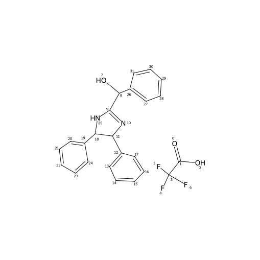 O=C(O)C(F)(F)F.OC(C1=NC(c2ccccc2)C(c2ccccc2)N1)c1ccccc1